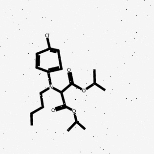 CCCCN(c1ccc(Cl)cc1)C(C(=O)OC(C)C)C(=O)OC(C)C